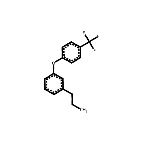 CCCc1cccc(Oc2ccc(C(F)(F)F)cc2)c1